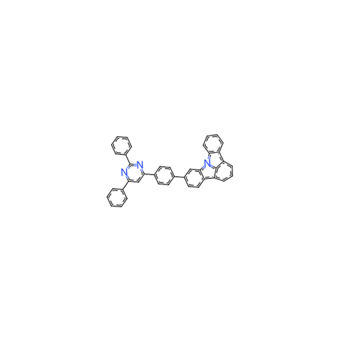 c1ccc(-c2cc(-c3ccc(-c4ccc5c6cccc7c8ccccc8n(c5c4)c76)cc3)nc(-c3ccccc3)n2)cc1